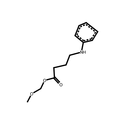 COCOC(=O)CCCNc1ccccc1